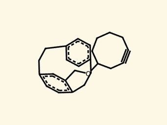 C1#CCC(OCc2cc3ccc2CCc2ccc(cc2)CC3)CCCC1